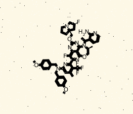 COc1ccc(CN(Cc2ccc(OC)cc2)c2cc(C)c(C(F)(F)F)c(-c3nc4c5c(nc(OC[C@@]67CCCN6C[C@H](F)C7)nc5c3F)N(C(C)c3cccnc3N)[C@@H](C)CO4)n2)cc1